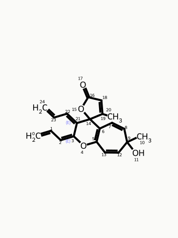 C=C/C=C1/OC2=C(C=CC(C)(O)C=C2)C2(OC(=O)C=C2C)/C1=C/C=C